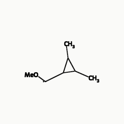 CO[CH]C1C(C)C1C